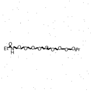 CCC(=O)NCCOCCOCCOCCOCCOCCOCCOCCOCCOC(C)C